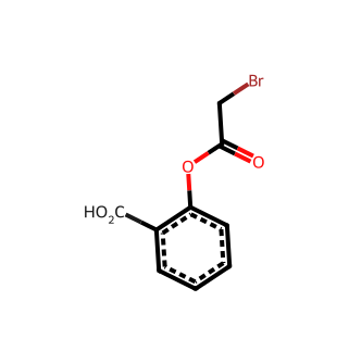 O=C(CBr)Oc1ccccc1C(=O)O